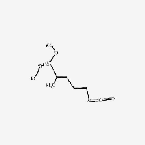 CCO[SiH](OCC)C(C)CCCN=C=O